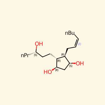 CCCC/C=C\C[C@@H]1[C@@H](CC[C@@H](O)CCC)[C@H](O)C[C@@H]1O